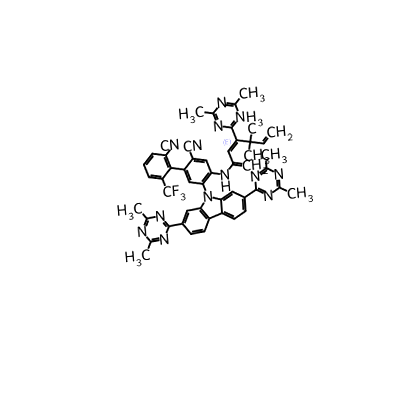 C=CC(C)(C)/C(=C\C(=C)Nc1cc(C#N)c(-c2c(C#N)cccc2C(F)(F)F)cc1-n1c2cc(-c3nc(C)nc(C)n3)ccc2c2ccc(-c3nc(C)nc(C)n3)cc21)c1nc(C)nc(C)n1